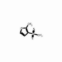 Cc1occc1S(C)(=S)=S